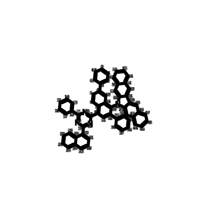 c1ccc(-c2ccc3c(-c4nc(-c5ccccc5)nc(-c5cccc6ccccc56)n4)cc(-c4ccccc4)c(-n4c5cc6ccccc6cc5c5cc6ccccc6cc54)c3c2)cc1